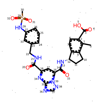 Cc1c(C(=O)O)ccc2c1CC[C@@H]2NC(=O)c1cc(C(=O)NCc2cccc(NS(C)(=O)=O)c2)nc2ncnn12